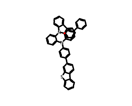 c1ccc(-c2ccc(N(c3ccc(-c4ccc5c(c4)sc4ccccc45)cc3)c3ccccc3-n3c4ccccc4c4ccccc43)cc2)cc1